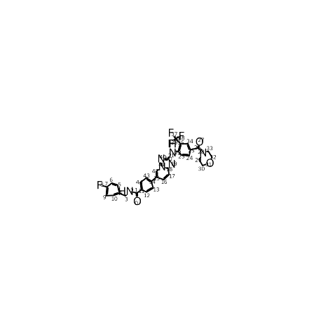 O=C(NCc1ccc(F)cc1)c1ccc(-c2ccc3nc(Nc4ccc(C(=O)N5CCOCC5)cc4C(F)(F)F)nn3c2)cc1